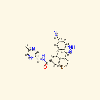 CCC(c1ccc(C(=O)NCc2cnc(C)cn2)cc1Br)c1n[nH]c2cc(C#N)ccc12